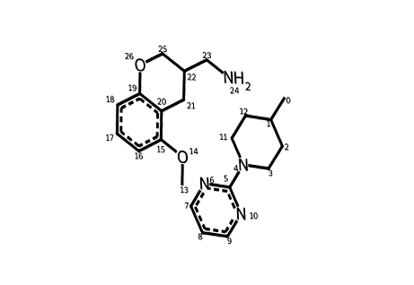 CC1CCN(c2ncccn2)CC1.COc1cccc2c1CC(CN)CO2